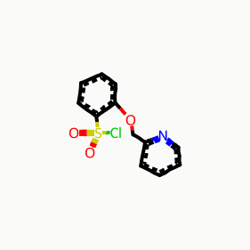 O=S(=O)(Cl)c1ccccc1OCc1ccccn1